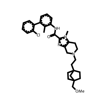 COCC12CCC(CCN3CCc4c(nc(C(=O)Nc5cccc(-c6ccccc6Cl)c5C)n4C)C3)(CC1)C2